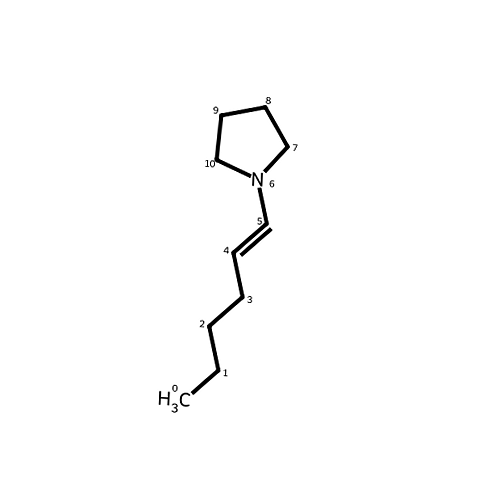 CCCC/C=C/N1CCCC1